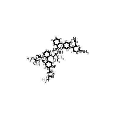 C[C@@H](c1cccc(S(=O)(=O)NC(C)(C)C)c1-c1ccc(-c2nnc(N)s2)c(F)c1)C(C)(C)NS(=O)(=O)c1ccccc1-c1ccc(-c2ccc(N)nc2C#N)c(F)c1